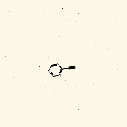 [C]#Cc1ncncn1